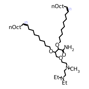 CCCCCCCC/C=C\CCCCCCCCOC(COCCN(C)CCN(CC)CC)C(OCCCCCCCC/C=C\CCCCCCCC)C(N)=O